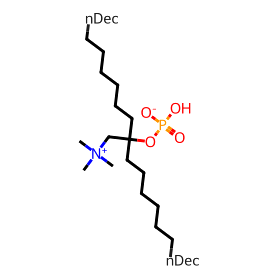 CCCCCCCCCCCCCCCCC(CCCCCCCCCCCCCCCC)(C[N+](C)(C)C)OP(=O)([O-])O